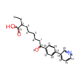 CCC(CCCCCC(=O)c1ccc(-c2cccnc2)cc1)C(=O)O